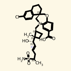 C[C@H](C/C=C/[C@H](O)[C@@]1(C)CC[C@@H]1CN1C[C@@]2(CCCc3cc(Cl)ccc32)COc2ccc(C(=O)O)cc21)S(N)(=O)=O